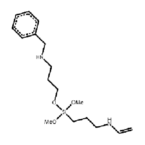 C=CNCCC[Si](OC)(OC)OCCCNCc1ccccc1